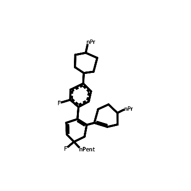 CCCCCC1(F)C=CC(c2ccc(C3CCC(CCC)CC3)cc2F)=C(C2=CCC(CCC)CC2)C1